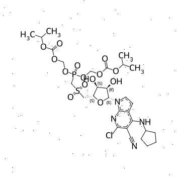 CC(C)OC(=O)OCOP(=O)(CS(=O)(=O)C[C@H]1O[C@@H](n2ccc3c(NC4CCCC4)c(C#N)c(Cl)nc32)[C@H](O)[C@@H]1O)OCOC(=O)OC(C)C